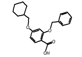 O=C(O)c1ccc(OCC2CCCCC2)cc1OCc1ccccc1